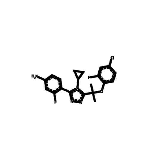 CC(C)(Oc1ccc(Cl)cc1F)c1nnc(-c2ccc(N)cc2F)n1C1CC1